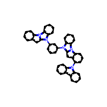 c1cc(-n2c3ccccc3n3c4ccccc4cc23)cc(-n2c3ccccc3n3c4cccc(-n5c6ccccc6c6ccccc65)c4cc23)c1